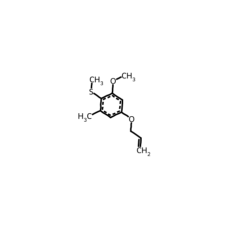 C=CCOc1cc(C)c(SC)c(OC)c1